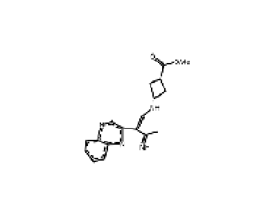 COC(=O)[C@H]1C[C@H](N/C=C(\C(C)=N)c2cnc3ccccc3n2)C1